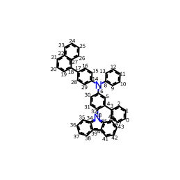 c1ccc(-c2cc(N(c3ccccc3)c3ccc(-c4cccc5ccccc45)cc3)ccc2-n2c3ccccc3c3ccccc32)cc1